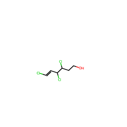 OCCC(Cl)C(Cl)C=CCl